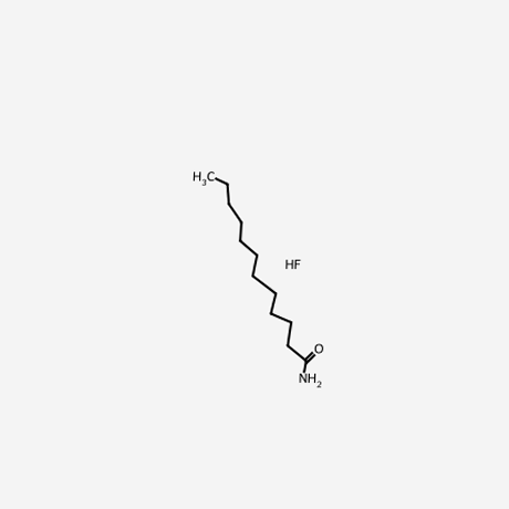 CCCCCCCCCCCC(N)=O.F